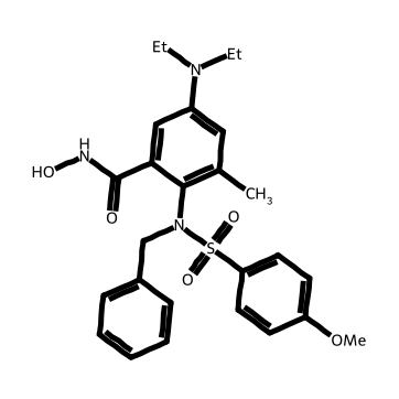 CCN(CC)c1cc(C)c(N(Cc2ccccc2)S(=O)(=O)c2ccc(OC)cc2)c(C(=O)NO)c1